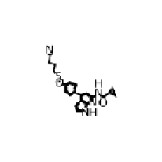 N#CCCCSOc1ccc(-c2cc(NC(=O)C3CC3)nc3[nH]ccc23)cc1